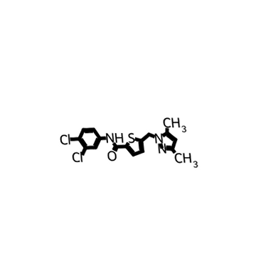 Cc1cc(C)n(Cc2ccc(C(=O)Nc3ccc(Cl)c(Cl)c3)s2)n1